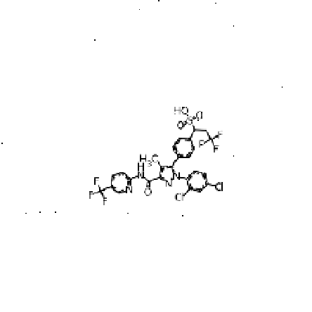 Cc1c(C(=O)Nc2ccc(C(F)(F)F)cn2)nn(-c2ccc(Cl)cc2Cl)c1-c1ccc(C(CC(F)(F)F)S(=O)(=O)O)cc1